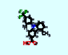 [2H]c1cc(C(F)(F)F)ccc1-n1c2ccc(C(=O)O)cc2c2c(C)cccc21